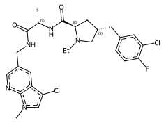 CCN1C[C@@H](Cc2ccc(F)c(Cl)c2)C[C@@H]1C(=O)N[C@@H](C)C(=O)NCc1cnc2c(c1)c(Cl)cn2C